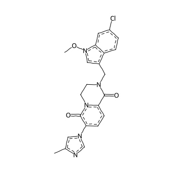 COn1cc(CN2CCn3c(ccc(-n4cnc(C)c4)c3=O)C2=O)c2ccc(Cl)cc21